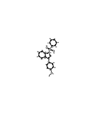 COc1ccc(-c2cn(S(=O)(=O)c3ccccc3)c3ccccc23)cc1